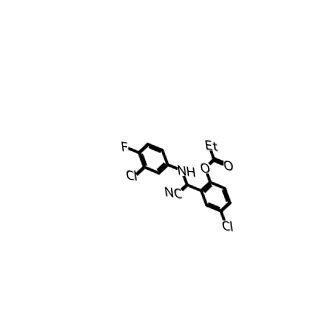 CCC(=O)Oc1ccc(Cl)cc1C(C#N)Nc1ccc(F)c(Cl)c1